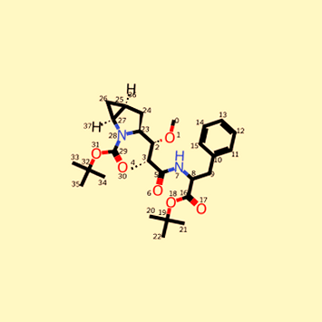 CO[C@H]([C@@H](C)C(=O)NC(Cc1ccccc1)C(=O)OC(C)(C)C)[C@@H]1C[C@@H]2C[C@@H]2N1C(=O)OC(C)(C)C